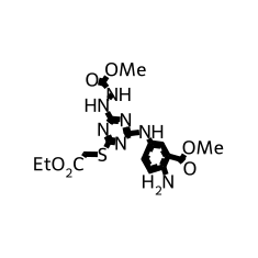 CCOC(=O)CSc1nc(NNC(=O)OC)nc(Nc2ccc(N)c(C(=O)OC)c2)n1